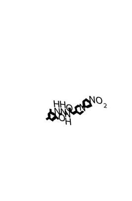 Cc1cc(C)c(NC(=O)NNC(=O)C=C2CCN(c3ccc([N+](=O)[O-])cc3)CC2)c(C)c1